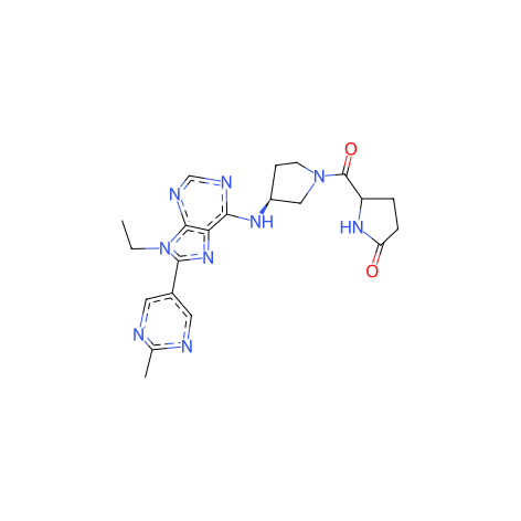 CCn1c(-c2cnc(C)nc2)nc2c(N[C@H]3CCN(C(=O)C4CCC(=O)N4)C3)ncnc21